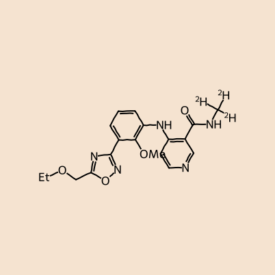 [2H]C([2H])([2H])NC(=O)c1cnccc1Nc1cccc(-c2noc(COCC)n2)c1OC